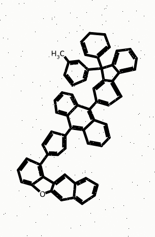 Cc1cccc(C2(C3=CCCC=C3)c3ccccc3-c3ccc(-c4c5ccccc5c(-c5ccc(-c6cccc7oc8cc9ccccc9cc8c67)cc5)c5ccccc45)cc32)c1